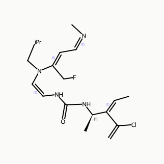 C=C(Cl)/C(=C\C)[C@@H](C)NC(=O)N/C=C\N(CC(C)C)/C(=C/C=N\C)CF